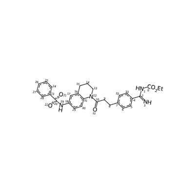 CCOC(=O)NC(=N)c1ccc(CCC(=O)N2CCCc3cc(NS(=O)(=O)c4ccccc4)ccc32)cc1